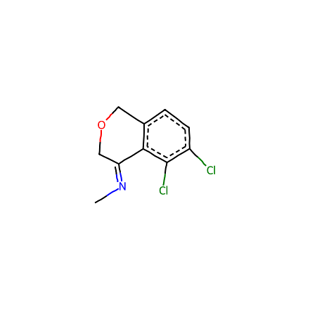 C/N=C1\COCc2ccc(Cl)c(Cl)c21